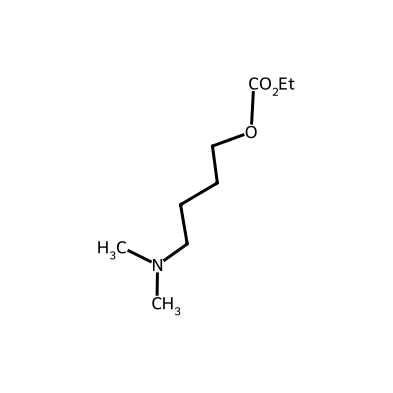 CCOC(=O)OCCCCN(C)C